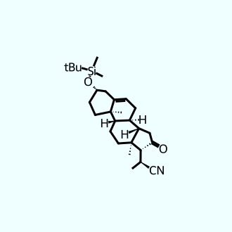 C[C@H](C#N)[C@H]1C(=O)C[C@H]2[C@@H]3CC=C4C[C@@H](O[Si](C)(C)C(C)(C)C)CC[C@]4(C)[C@H]3CC[C@]12C